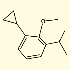 COc1c([C](C)C)cccc1C1CC1